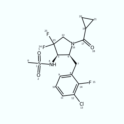 CS(=O)(=O)N[C@@H]1[C@H](Cc2cccc(Cl)c2F)N(C(=O)C2CC2)CC1(F)F